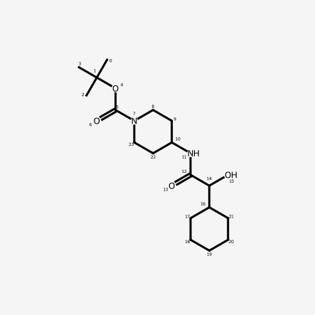 CC(C)(C)OC(=O)N1CCC(NC(=O)C(O)C2CCCCC2)CC1